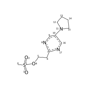 CS(=O)(=O)OCCc1ncc(N2CCCC2)cn1